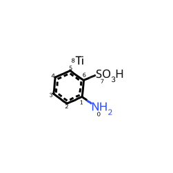 Nc1ccccc1S(=O)(=O)O.[Ti]